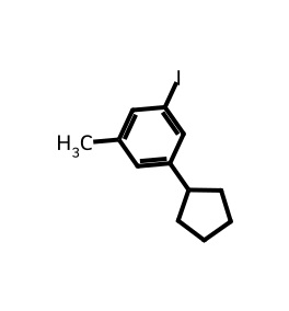 Cc1cc(I)cc(C2CCCC2)c1